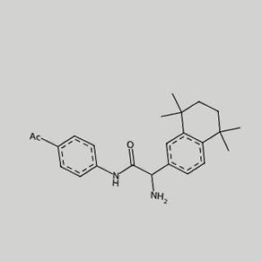 CC(=O)c1ccc(NC(=O)C(N)c2ccc3c(c2)C(C)(C)CCC3(C)C)cc1